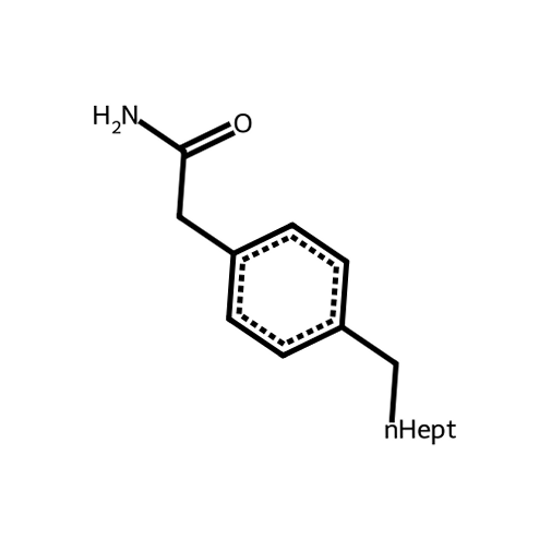 CCCCCCCCc1ccc(CC(N)=O)cc1